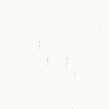 CC(C)Cc1cc(F)c(F)cc1O